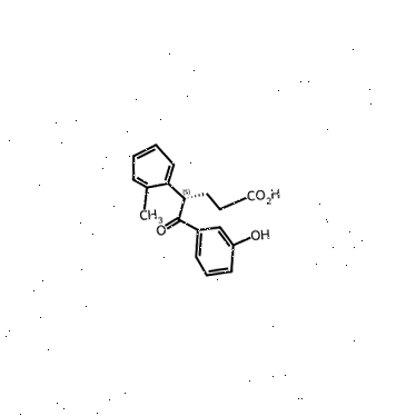 Cc1ccccc1[C@H](CCC(=O)O)C(=O)c1cccc(O)c1